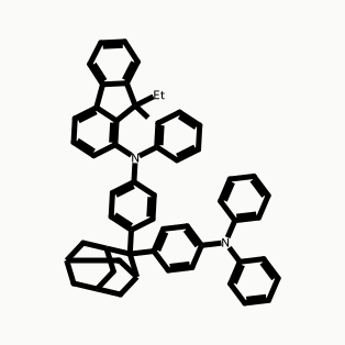 CCC1(C)c2ccccc2-c2cccc(N(c3ccccc3)c3ccc(C4(c5ccc(N(c6ccccc6)c6ccccc6)cc5)C5CC6CC(C5)CC4C6)cc3)c21